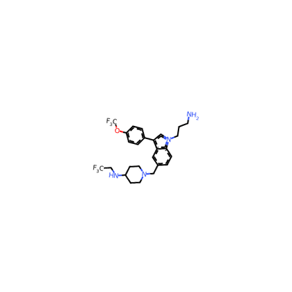 NCCCn1cc(-c2ccc(OC(F)(F)F)cc2)c2cc(CN3CCC(NCC(F)(F)F)CC3)ccc21